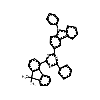 CC1(C)c2ccccc2-c2c(-c3nc(-c4ccccc4)nc(-c4ccc5c(c4)c4ccccc4n5-c4ccccc4)n3)cccc21